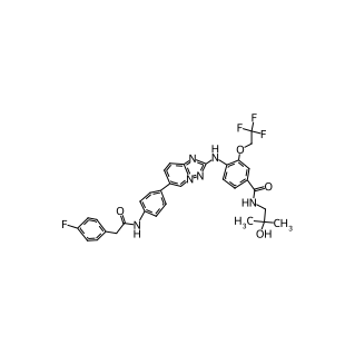 CC(C)(O)CNC(=O)c1ccc(Nc2nc3ccc(-c4ccc(NC(=O)Cc5ccc(F)cc5)cc4)cn3n2)c(OCC(F)(F)F)c1